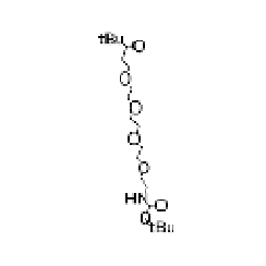 CC(C)(C)OC(=O)NCCOCCOCCOCCOCCC(=O)C(C)(C)C